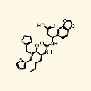 CCCCC(NC(=O)NC(CC(=O)O)c1ccc2c(c1)OCO2)C(=O)N(Cc1cccs1)Cc1cccs1